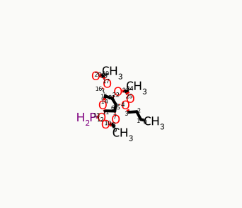 CCCCO[C@@H]1[C@H](OC(C)=O)[C@@H](OP)O[C@H](COC(C)=O)[C@H]1OC(C)=O